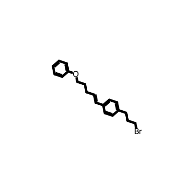 BrCCCc1ccc(/C=C/CCCOc2ccccc2)cc1